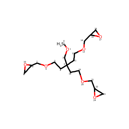 [SiH3]OCC(CCOCC1CO1)(CCOCC1CO1)CCOCC1CO1